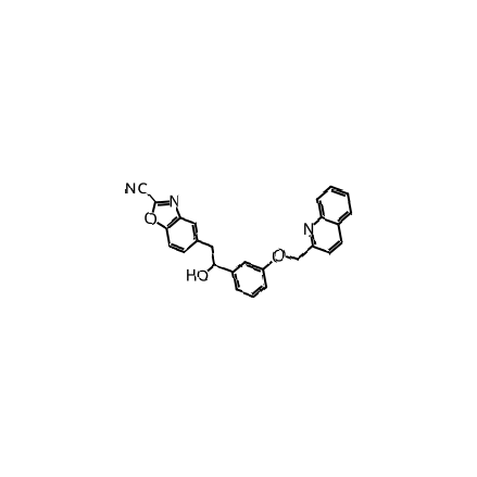 N#Cc1nc2cc(CC(O)c3cccc(OCc4ccc5ccccc5n4)c3)ccc2o1